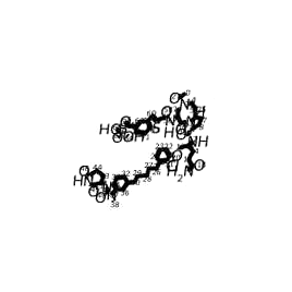 CC(=O)N1CC[C@H]2CC[C@@H](C(=O)NC(CCC(N)=O)COc3cccc(CCCCCc4ccc5c(c4)n(C)c(=O)n5C4CCC(=O)NC4=O)c3Cl)N2C(=O)[C@@H](NC(=O)c2cc3cc(C(=O)P(=O)(O)O)ccc3s2)C1